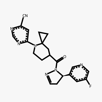 N#Cc1cc(N2CCC(C(=O)N3N=CC[C@@H]3c3cncc(F)c3)CC23CC3)ncn1